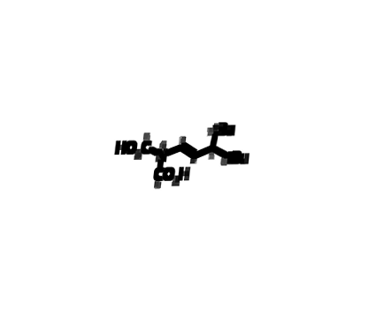 CC(C)(C)C(C=CN(C(=O)O)C(=O)O)C(C)(C)C